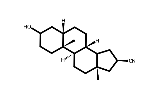 C[C@@]12CC[C@@H]3[C@H](CC[C@H]4CC(O)CC[C@]43C)C1C[C@@H](C#N)C2